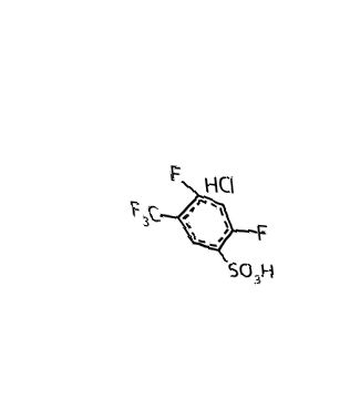 Cl.O=S(=O)(O)c1cc(C(F)(F)F)c(F)cc1F